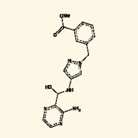 COC(=O)c1cccc(Cn2cc(NC(O)c3nccnc3N)cn2)c1